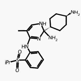 CC1=CNC(N)([C@H]2CC[C@H](N)CC2)N=C1Nc1ccccc1S(=O)(=O)C(C)C